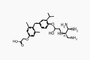 Cc1cc(OCC(=O)O)cc(C)c1Cc1ccc(OC(O)CN[C@H](CN)C(N)N)c(C(C)C)c1